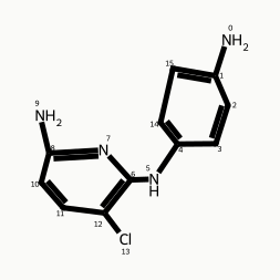 Nc1ccc(Nc2nc(N)ccc2Cl)cc1